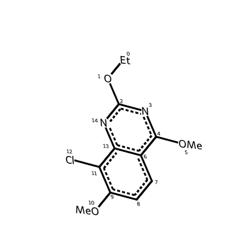 CCOc1nc(OC)c2ccc(OC)c(Cl)c2n1